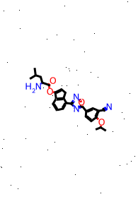 CC(C)CC(N)C(=O)OC1=CCc2c1cccc2-c1noc(-c2ccc(OC(C)C)c(C#N)c2)n1